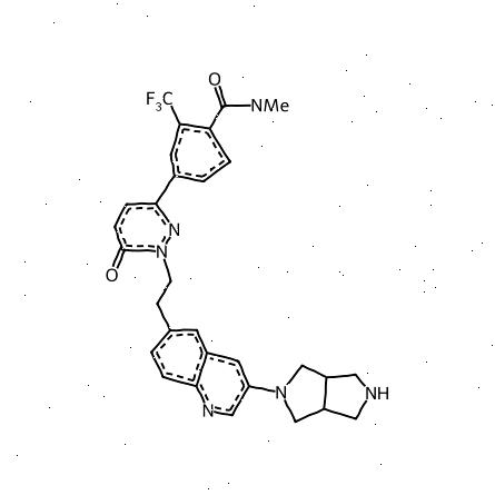 CNC(=O)c1ccc(-c2ccc(=O)n(CCc3ccc4ncc(N5CC6CNCC6C5)cc4c3)n2)cc1C(F)(F)F